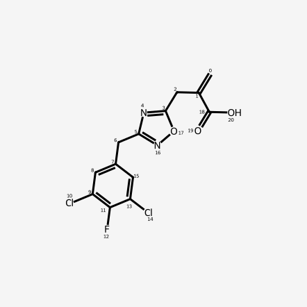 C=C(Cc1nc(Cc2cc(Cl)c(F)c(Cl)c2)no1)C(=O)O